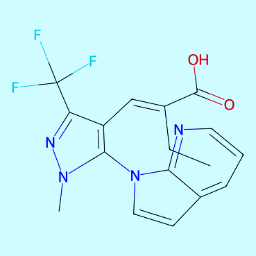 CC/C(=C\c1c(C(F)(F)F)nn(C)c1-n1ccc2cccnc21)C(=O)O